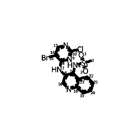 CS(=O)(=O)Nc1c(Nc2nc(Cl)ncc2Br)cnc2ccccc12